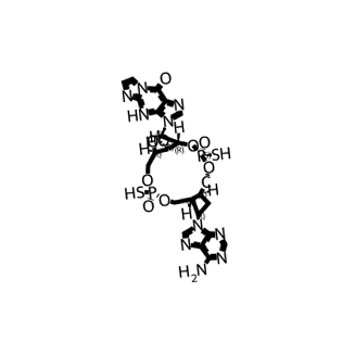 Nc1ncnc2c1ncn2[C@@H]1C[C@@H]2CO[P@](=O)(S)O[C@@H]3[C@H](O)[C@@H](COP(=O)(S)OC[C@H]21)O[C@H]3n1cnc2c(=O)n3ccnc3[nH]c21